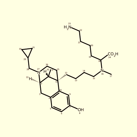 C[C@H]1[C@H]2Cc3ccc(O)cc3[C@]1(CCCCN(C)C(CCCCN)C(=O)O)CCN2CC1CC1